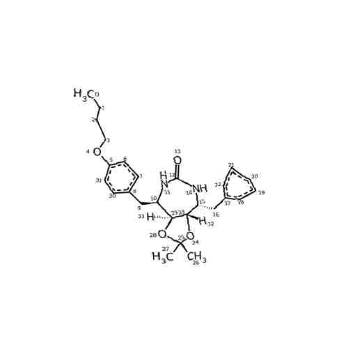 CCCCOc1ccc(C[C@H]2NC(=O)N[C@H](Cc3ccccc3)[C@@H]3OC(C)(C)O[C@H]32)cc1